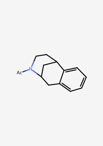 CC(=O)N1CCC2CC1Cc1ccccc12